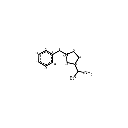 CCC(N)C1CCN(Cc2ccccc2)C1